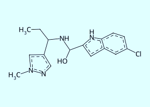 CCC(NC(O)c1cc2cc(Cl)ccc2[nH]1)c1cnn(C)c1